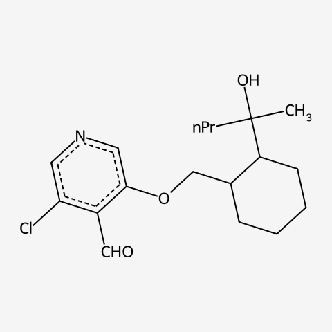 CCCC(C)(O)C1CCCCC1COc1cncc(Cl)c1C=O